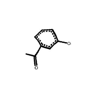 CC(=O)c1cccc([O])c1